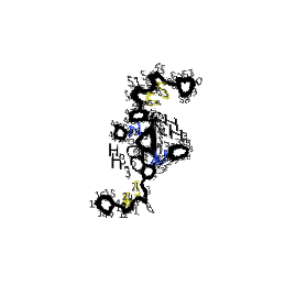 CC1(C)c2cc(-c3ccc(-c4ccc(-c5ccccc5)s4)s3)ccc2N(c2ccccc2)c2cc3c(cc21)N(c1ccccc1)c1ccc(-c2ccc(-c4ccc(-c5ccccc5)s4)s2)cc1C3(C)C